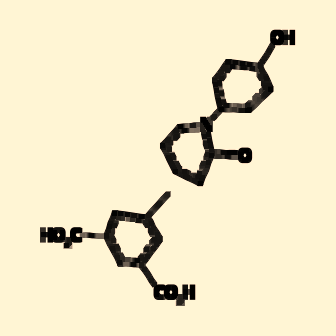 Cc1cc(C(=O)O)cc(C(=O)O)c1.O=c1ccccn1-c1ccc(O)cc1